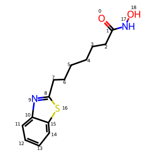 O=C(CCCCCCc1nc2ccccc2s1)NO